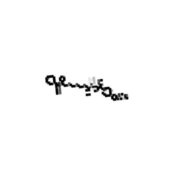 COc1ccc(C(=O)ONC(=O)CCCCCCC(=O)Nc2ccccc2)cc1